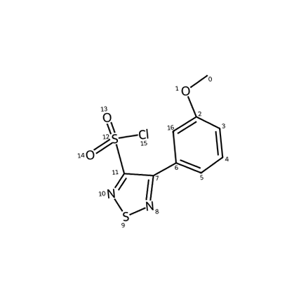 COc1cccc(-c2nsnc2S(=O)(=O)Cl)c1